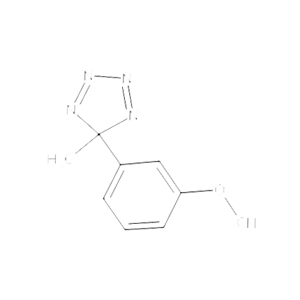 COc1c[c]cc(C2(C)N=NN=N2)c1